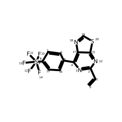 C=Cc1nc(-c2ccc(S(F)(F)(F)(F)F)cc2)c2ncsc2n1